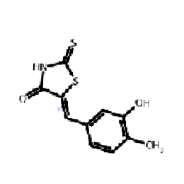 Cc1ccc(/C=C2\SC(=S)NC2=O)cc1O